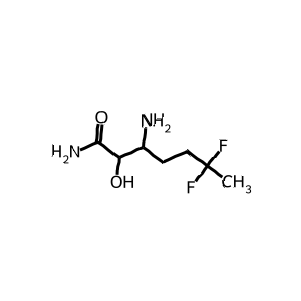 CC(F)(F)CCC(N)C(O)C(N)=O